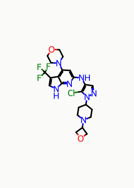 FC(F)(F)c1c[nH]c2nc(Nc3cnn(C4CCN(C5COC5)CC4)c3Cl)cc(N3CCOCC3)c12